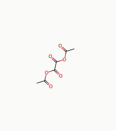 CC(=O)OC(=O)C(=O)OC(C)=O